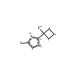 Cc1cnc(C2(F)CCC2)s1